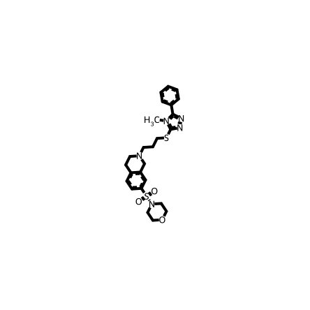 Cn1c(SCCCN2CCc3ccc(S(=O)(=O)N4CCOCC4)cc3C2)nnc1-c1ccccc1